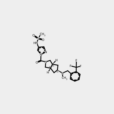 CN(Cc1ccccc1C(F)(F)F)[C@H]1C[C@@H]2CN(C(=O)n3cc(NS(C)(=O)=O)cn3)C[C@@H]2C1